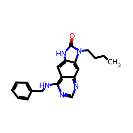 CCCCn1c(=O)[nH]c2cc3c(NCc4ccccc4)ncnc3cc21